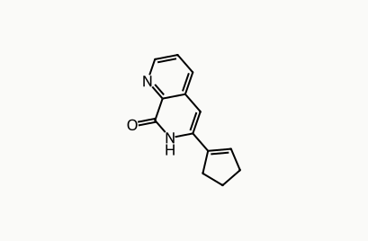 O=c1[nH]c(C2=CCCC2)cc2cccnc12